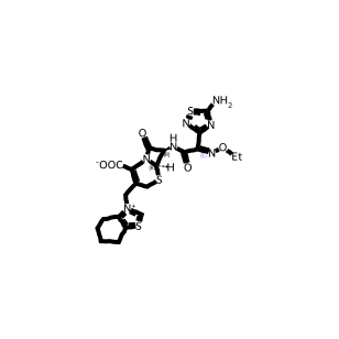 CCO/N=C(/C(=O)N[C@@H]1C(=O)N2C(C(=O)[O-])=C(C[n+]3csc4c3CCCC4)CS[C@H]12)c1nsc(N)n1